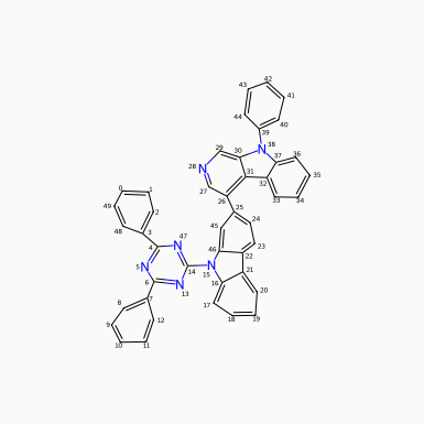 c1ccc(-c2nc(-c3ccccc3)nc(-n3c4ccccc4c4ccc(-c5cncc6c5c5ccccc5n6-c5ccccc5)cc43)n2)cc1